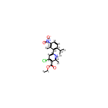 CCOC(=O)c1c(Cl)cc(-c2c(C(C)C)ccc([N+](=O)[O-])c2C)nc1C